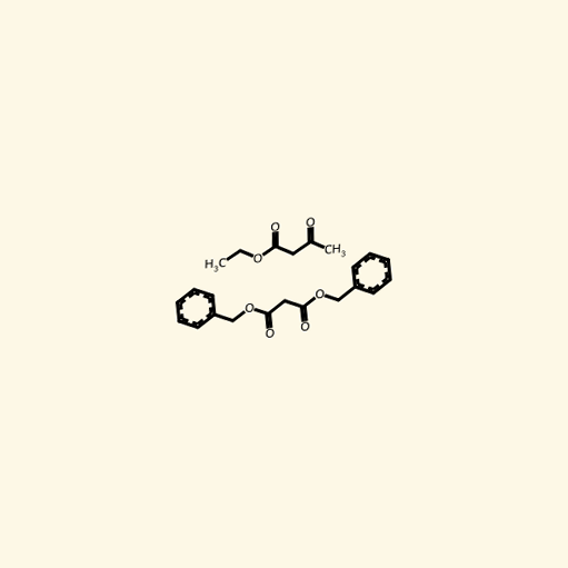 CCOC(=O)CC(C)=O.O=C(CC(=O)OCc1ccccc1)OCc1ccccc1